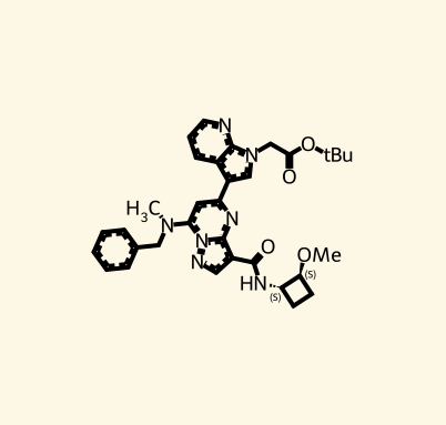 CO[C@H]1CC[C@@H]1NC(=O)c1cnn2c(N(C)Cc3ccccc3)cc(-c3cn(CC(=O)OC(C)(C)C)c4ncccc34)nc12